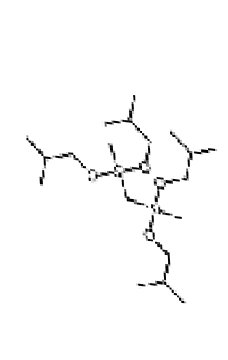 CC(C)CO[Si](C)(C[Si](C)(OCC(C)C)OCC(C)C)OCC(C)C